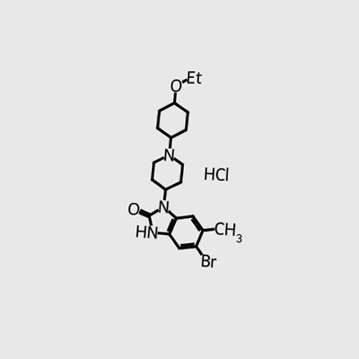 CCOC1CCC(N2CCC(n3c(=O)[nH]c4cc(Br)c(C)cc43)CC2)CC1.Cl